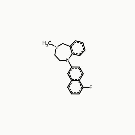 CN1CCN(c2ccc3c(F)cccc3c2)c2ccccc2C1